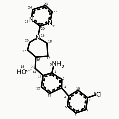 Nc1cc(-c2cccc(Cl)c2)ccc1[C@H](O)C1CCN(c2ncccn2)CC1